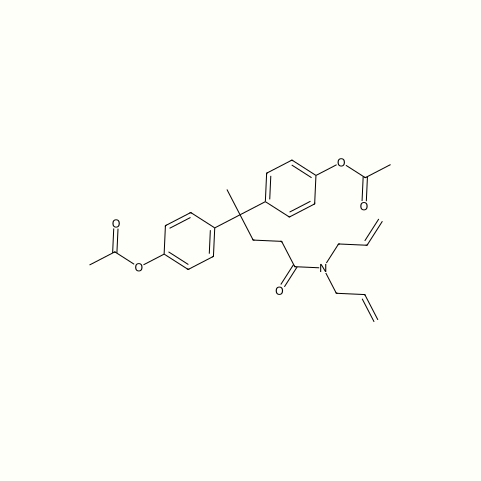 C=CCN(CC=C)C(=O)CCC(C)(c1ccc(OC(C)=O)cc1)c1ccc(OC(C)=O)cc1